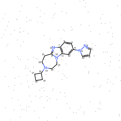 c1cnn(-c2ccc3nc4n(c3c2)CCN(C2CCC2)CC4)c1